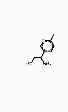 Cc1ccc(C(N)CO)cn1